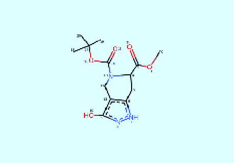 COC(=O)C1Cc2[nH]nc(O)c2CN1C(=O)OC(C)(C)C